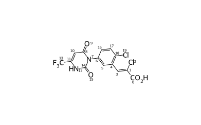 O=C(O)/C(Cl)=C/c1cc(-n2c(=O)cc(C(F)(F)F)[nH]c2=O)ccc1Cl